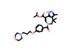 Cc1n[nH]c2c1C(C)(C)CN(C(=O)C1=CC=C(OCCCN3CCOCC3)C=CC1)C=C2C(=O)OC(C)C